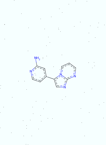 Nc1cc(-c2cnc3ncccn23)ccn1